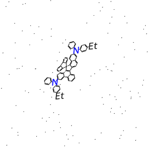 CCc1ccc(N(c2ccccc2)c2ccc3c4c(ccc3c2)-c2c(c3ccc(N(c5ccccc5)c5ccc(CC)cc5)cc3c3ccccc23)C42c3ccccc3-c3ccccc32)cc1